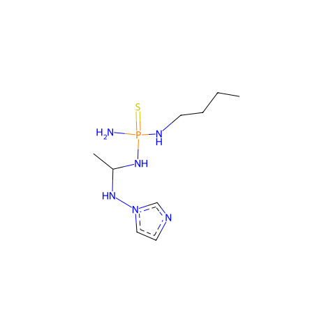 CCCCNP(N)(=S)NC(C)Nn1ccnc1